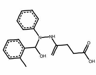 C=C(CCC(=O)O)NN(c1ccccc1)C(O)c1ccccc1C